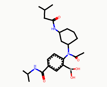 CC(=O)N(c1ccc(C(=O)NC(C)C)cc1B(O)O)C1CCCC(NC(=O)CC(C)C)C1